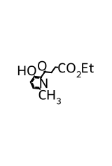 CCOC(=O)CCC(=O)c1nc(C)ccc1O